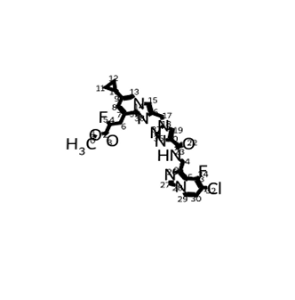 COC(=O)C(F)Cc1cc(C2CC2)cn2cc(Cn3cc(C(=O)NCc4ncn5ccc(Cl)c(F)c45)nn3)nc12